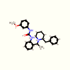 COc1cccc(NC(=O)Nc2ccccc2C(C)N2CCCCC2Cc2ccccc2)c1